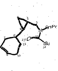 CCCN(CC1CC1C1CC=CCC1)C(=O)C(C)(C)C